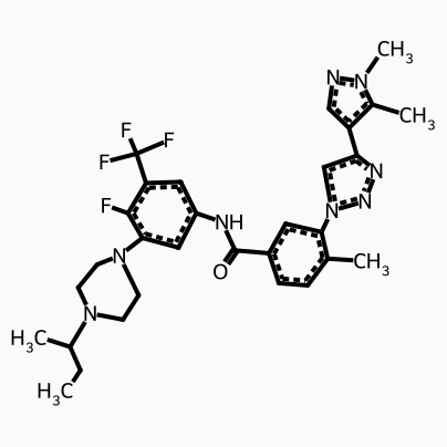 CCC(C)N1CCN(c2cc(NC(=O)c3ccc(C)c(-n4cc(-c5cnn(C)c5C)nn4)c3)cc(C(F)(F)F)c2F)CC1